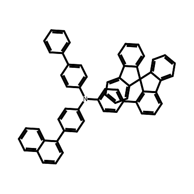 c1ccc(-c2ccc(N(c3ccc(-c4cccc5c4C4(c6ccccc6-c6ccccc64)c4ccccc4-5)cc3)c3ccc(-c4cccc5ccccc45)cc3)cc2)cc1